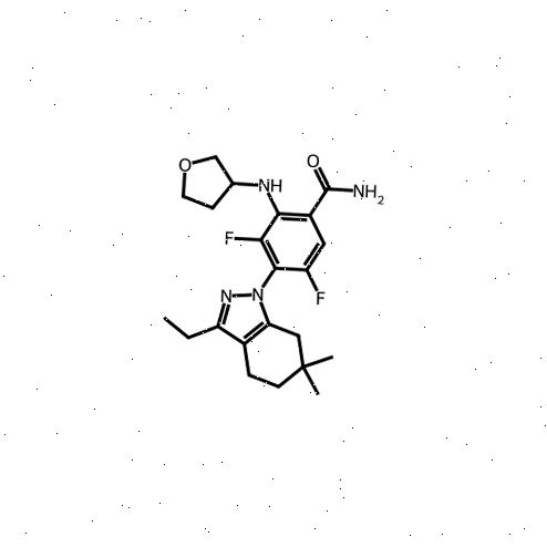 CCc1nn(-c2c(F)cc(C(N)=O)c(NC3CCOC3)c2F)c2c1CCC(C)(C)C2